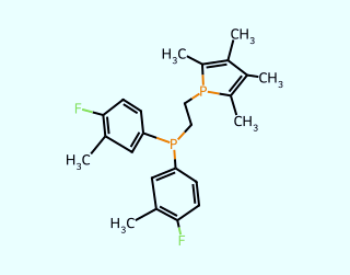 Cc1cc(P(CCp2c(C)c(C)c(C)c2C)c2ccc(F)c(C)c2)ccc1F